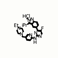 CCN1CCN(Cc2ccc(Nc3ncc(F)c(-c4ccc5nn(C)c(C(C)C)c5c4)n3)nc2)CC1.Cl